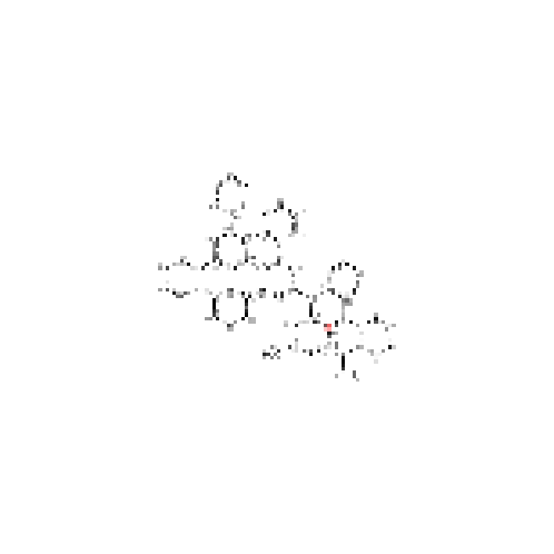 C=Cc1ccccc1/C(=C\C)c1ccccc1N(c1cccc(C)c1)c1ccc2c(c1)c1c(c3c(-c4ccccc4)cc(-c4ccccc4)c(-c4ccccc4)c32)C=CCC1